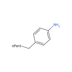 [CH2]CCCCCc1ccc(N)cc1